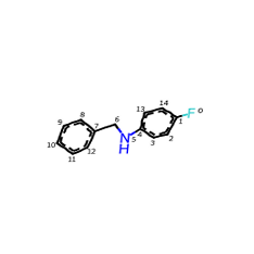 Fc1ccc(NCc2ccccc2)cc1